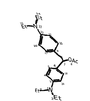 CCN(CC)c1ccc(C(OC(C)=O)c2ccc(N(CC)CC)cc2)cc1